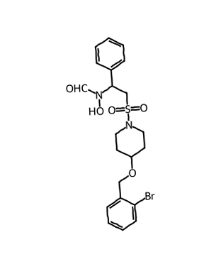 O=CN(O)C(CS(=O)(=O)N1CCC(OCc2ccccc2Br)CC1)c1ccccc1